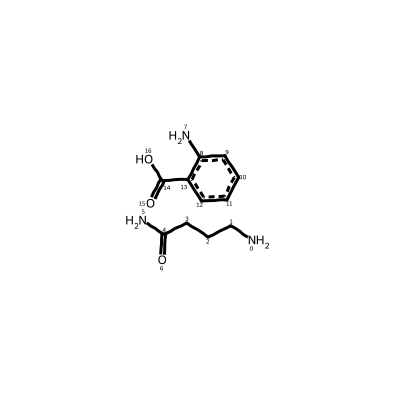 NCCCC(N)=O.Nc1ccccc1C(=O)O